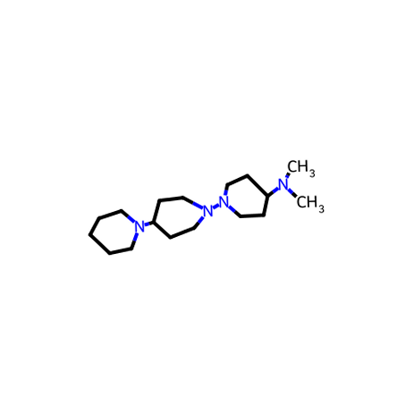 CN(C)C1CCN(N2CCC(N3CCCCC3)CC2)CC1